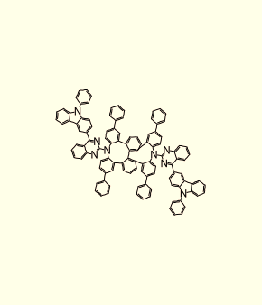 c1ccc(-c2ccc3c(c2)c2cccc4c5cc(-c6ccccc6)ccc5n(-c5nc(-c6ccc7c(c6)c6ccccc6n7-c6ccccc6)c6ccccc6n5)c5ccc(-c6ccccc6)cc5c5cccc(c6cc(-c7ccccc7)ccc6n3-c3nc(-c6ccc7c(c6)c6ccccc6n7-c6ccccc6)c6ccccc6n3)c5c24)cc1